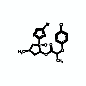 CC(Oc1ccc(Cl)cc1)C(=O)OC1CN(C)C[N+]1([O-])c1ncc(Br)s1